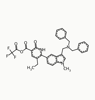 CCc1cc(C(=O)OC(=O)C(F)(F)F)c(=O)[nH]c1-c1ccc2c(c1)c(CN(Cc1ccccc1)Cc1ccccc1)cn2C